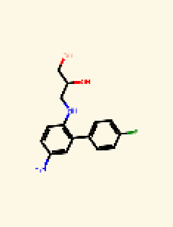 Nc1ccc(NCC(O)CO)c(-c2ccc(F)cc2)c1